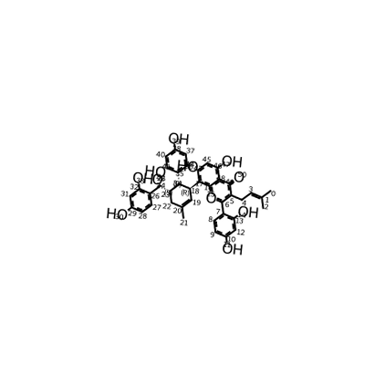 CC(C)=CCc1c(-c2ccc(O)cc2O)oc2c([C@H]3C=C(C)C[C@H](C(=O)c4ccc(O)cc4O)[C@@H]3c3ccc(O)cc3O)c(O)cc(O)c2c1=O